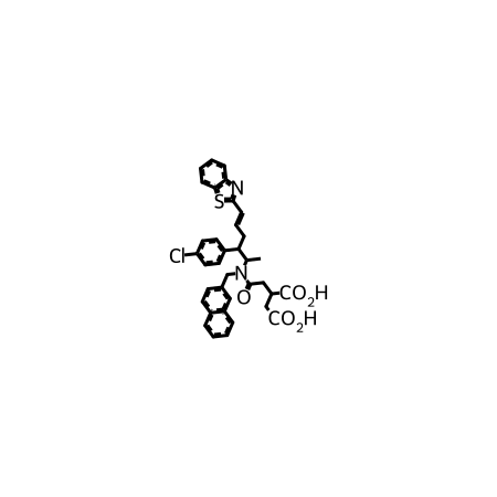 CC(C(C/C=C/c1nc2ccccc2s1)c1ccc(Cl)cc1)N(Cc1ccc2ccccc2c1)C(=O)CC(CC(=O)O)C(=O)O